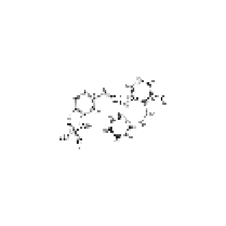 CCS(=O)(=O)Nc1cccc(C=C=C2c3ccccc3CCc3c(Cl)cccc32)c1